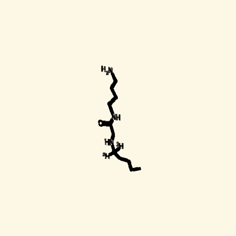 [2H]C([2H])(CCCC)NCC(=O)NCCCCN